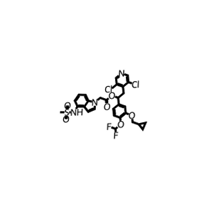 CS(=O)(=O)Nc1cccc2c1ccn2CC(=O)OC(Cc1c(Cl)cncc1Cl)c1ccc(OC(F)F)c(OCC2CC2)c1